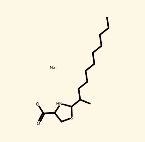 CCCCCCCCCC(C)C1NC(C(=O)[O-])CS1.[Na+]